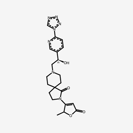 CC1OC(=O)C=C1N1CCC2(CCN(C[C@H](O)c3ccc(-n4cnnn4)nc3)CC2)C1=O